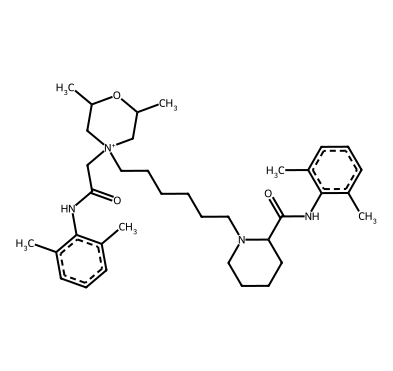 Cc1cccc(C)c1NC(=O)C[N+]1(CCCCCCN2CCCCC2C(=O)Nc2c(C)cccc2C)CC(C)OC(C)C1